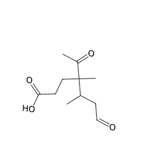 CC(=O)C(C)(CCC(=O)O)C(C)CC=O